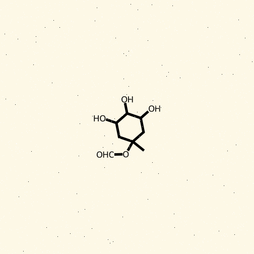 CC1(OC=O)CC(O)C(O)C(O)C1